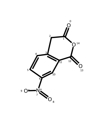 O=C1Cc2ccc([N+](=O)[O-])cc2C(=O)O1